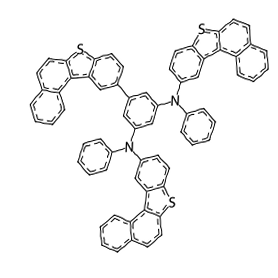 c1ccc(N(c2cc(-c3ccc4sc5ccc6ccccc6c5c4c3)cc(N(c3ccccc3)c3ccc4sc5ccc6ccccc6c5c4c3)c2)c2ccc3sc4ccc5ccccc5c4c3c2)cc1